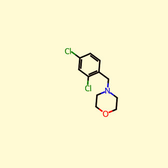 Clc1ccc(CN2CCOCC2)c(Cl)c1